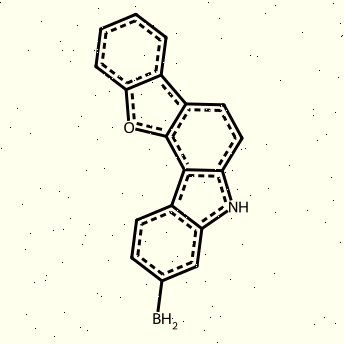 Bc1ccc2c(c1)[nH]c1ccc3c4ccccc4oc3c12